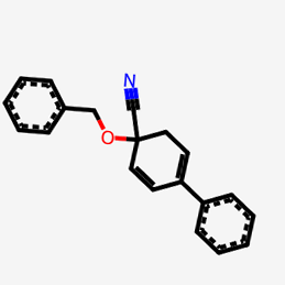 N#CC1(OCc2ccccc2)C=CC(c2ccccc2)=CC1